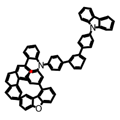 c1cc(-c2ccc(N(c3cccc(-c4cccc5oc6ccccc6c45)c3)c3ccccc3-c3ccc4c(ccc5ccccc54)c3)cc2)cc(-c2ccc(-n3c4ccccc4c4ccccc43)cc2)c1